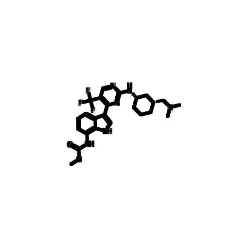 COC(=O)Nc1cccc2c(-c3nc(N[C@H]4CCC[C@@H](CN(C)C)C4)ncc3C(F)(F)F)c[nH]c12